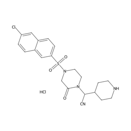 Cl.N#CC(C1CCNCC1)N1CCN(S(=O)(=O)c2ccc3cc(Cl)ccc3c2)CC1=O